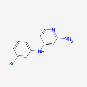 Nc1cc(Nc2cccc(Br)c2)ccn1